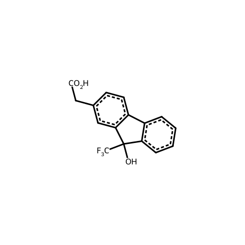 O=C(O)Cc1ccc2c(c1)C(O)(C(F)(F)F)c1ccccc1-2